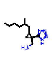 CCCCC(C)CC1CC1(CN)c1nnn[nH]1